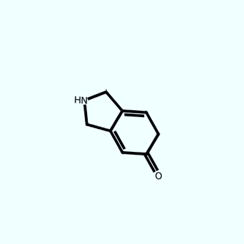 O=C1C=C2CN[CH]C2=CC1